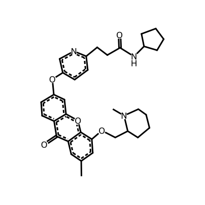 Cc1cc(OCC2CCCCN2C)c2oc3cc(Oc4ccc(CCC(=O)NC5CCCC5)nc4)ccc3c(=O)c2c1